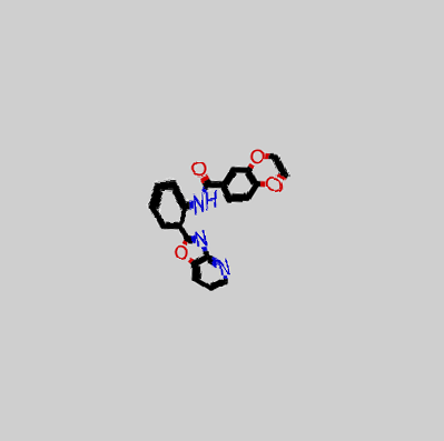 O=C(Nc1ccccc1-c1nc2ncccc2o1)c1ccc2c(c1)OCCO2